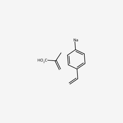 C=C(C)C(=O)O.C=Cc1cc[c]([Na])cc1